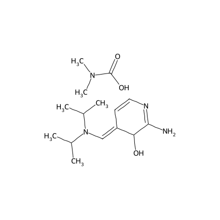 CC(C)N(C=C1C=CN=C(N)C1O)C(C)C.CN(C)C(=O)O